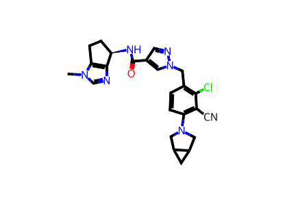 Cn1cnc2c1CC[C@H]2NC(=O)c1cnn(Cc2ccc(N3CC4CC4C3)c(C#N)c2Cl)c1